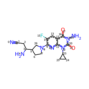 N#CCC(N)C1CCN(c2nc3c(cc2F)c(=O)n(N)c(=O)n3C2CC2)C1